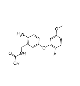 COc1ccc(F)c(Oc2ccc(N)c(CNC(=O)O)c2)c1